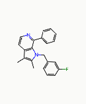 Cc1c(C)n(Cc2cccc(F)c2)c2c(-c3ccccc3)nccc12